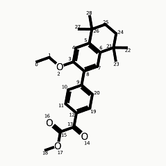 CCOc1cc2c(cc1-c1ccc(C(=O)C(=O)OC)cc1)C(C)(C)CCC2(C)C